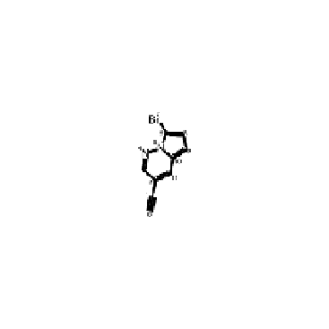 C#Cc1cnn2c(Br)ccc2c1